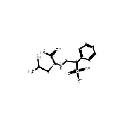 CC(C)C[C@H](NCC(c1ccccc1)S(=O)(=O)O)C(=O)O